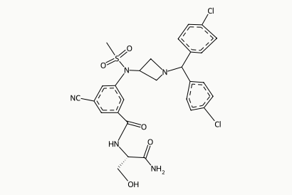 CS(=O)(=O)N(c1cc(C#N)cc(C(=O)N[C@@H](CO)C(N)=O)c1)C1CN(C(c2ccc(Cl)cc2)c2ccc(Cl)cc2)C1